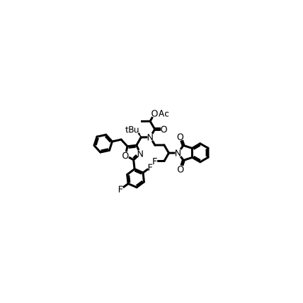 CC(=O)OC(C)C(=O)N(CCC(CF)N1C(=O)c2ccccc2C1=O)[C@@H](c1nc(-c2cc(F)ccc2F)oc1Cc1ccccc1)C(C)(C)C